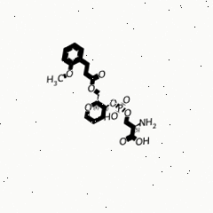 COc1ccccc1CCC(=O)OC[C@H]1OCCC[C@H]1OP(=O)(O)OC[C@H](N)C(=O)O